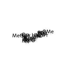 COC(=O)NC(C(=O)N1CCCC1c1ncc(-c2ccc3c(c2)COc2cc(-c4cnc(C5CCCN5C(=O)C(NC(=O)OC)C(C)C)[nH]4)ccc2-3)[nH]1)C(C)C